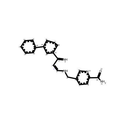 N=C(/C=C\NCc1ccc(C(N)=O)nc1)c1cccc(-c2ccccc2)c1